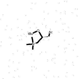 CC(=O)C[C@H](C[N+](C)(C)C)OC(C)(C)C